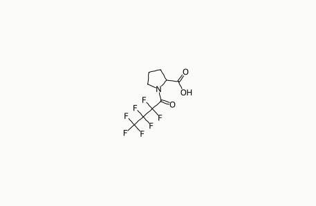 O=C(O)C1CCCN1C(=O)C(F)(F)C(F)(F)C(F)(F)F